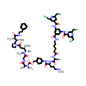 CC[C@H](C)C([C@@H](CC(=O)N1CCC[C@H]1[C@H](OC)[C@@H](C)C(=O)NCCc1ccccc1)OC)N(C)C(=O)CNC(=O)C(C(C)C)N(C)C(=O)OCc1ccc(NC(=O)C(CCCNC=O)NC(=O)C(NC(=O)CCCCCNC(=O)c2cc(NC(=O)c3cc(CBr)nc(CBr)c3)cc(NC(=O)c3cc(CBr)nc(CBr)c3)c2)C(C)C)cc1